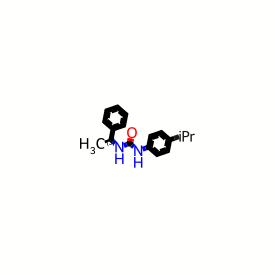 CC(C)c1ccc(NC(=O)N[C@@H](C)c2ccccc2)cc1